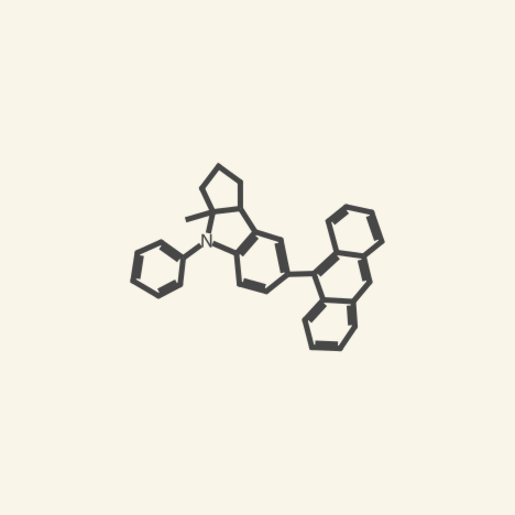 CC12CCCC1c1cc(-c3c4ccccc4cc4ccccc34)ccc1N2c1ccccc1